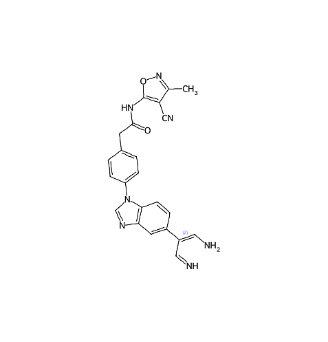 Cc1noc(NC(=O)Cc2ccc(-n3cnc4cc(/C(C=N)=C/N)ccc43)cc2)c1C#N